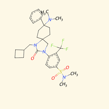 CN(C)C1(c2ccccc2)CCC2(CC1)CN(c1ccc(S(=O)(=O)N(C)C)cc1C(F)(F)F)C(=O)N2CC1CCC1